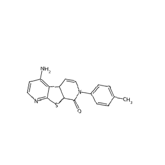 Cc1ccc(N2C=CC3c4c(N)ccnc4SC3C2=O)cc1